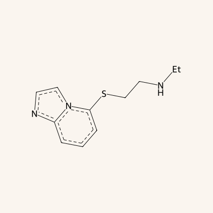 CCNCCSc1cccc2nccn12